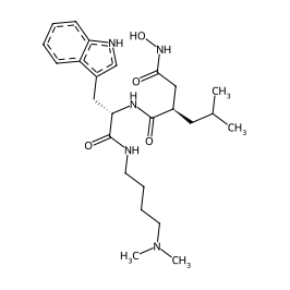 CC(C)C[C@H](CC(=O)NO)C(=O)N[C@@H](Cc1c[nH]c2ccccc12)C(=O)NCCCCN(C)C